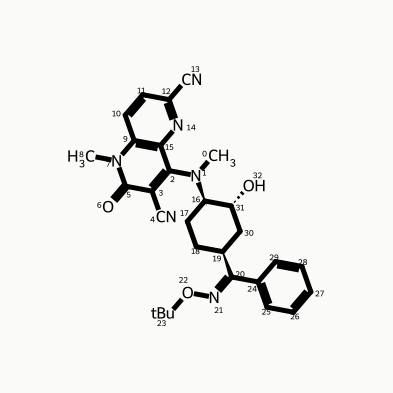 CN(c1c(C#N)c(=O)n(C)c2ccc(C#N)nc12)[C@@H]1CC[C@H](/C(=N\OC(C)(C)C)c2ccccc2)C[C@H]1O